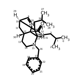 CC(C)CNC(=O)[C@]12N=C[C@@H]3C[C@H]1CCN(Cc1ccccc1)[C@H]2[C@@H]3CC(C)C